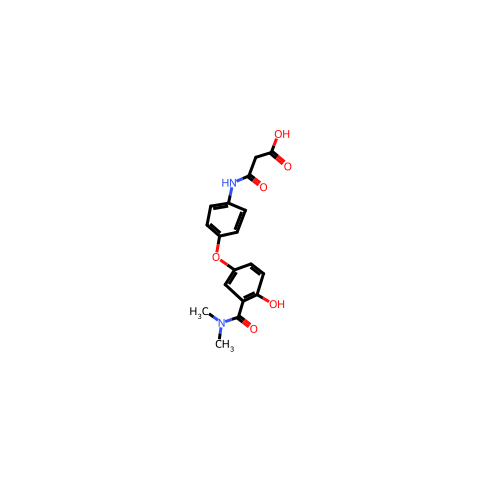 CN(C)C(=O)c1cc(Oc2ccc(NC(=O)CC(=O)O)cc2)ccc1O